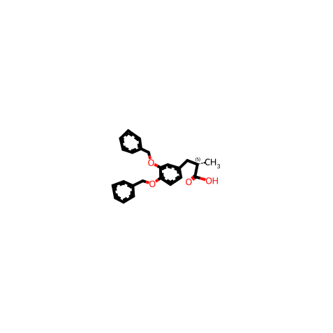 C[C@@H](Cc1ccc(OCc2ccccc2)c(OCc2ccccc2)c1)C(=O)O